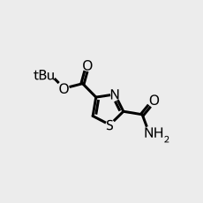 CC(C)(C)OC(=O)c1csc(C(N)=O)n1